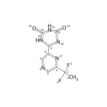 CC(F)(F)c1cncc(-c2nc(=O)[nH]c(=O)[nH]2)n1